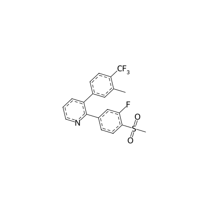 Cc1cc(-c2cccnc2-c2ccc(S(C)(=O)=O)c(F)c2)ccc1C(F)(F)F